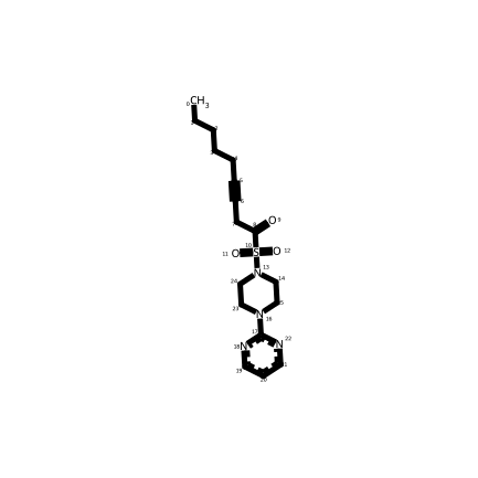 CCCCCC#CCC(=O)S(=O)(=O)N1CCN(c2ncccn2)CC1